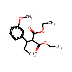 CCOC(=O)C(C(=O)OCC)C(CC)c1cccc(OC)c1